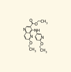 CCOC(=O)c1cnc2ccc(OCC)nc2c1Nc1ccc(OCC)nc1